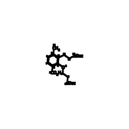 CCCCCCCCCCCCOc1c(C(=O)O)ccc(C)c1CCCCCCCCCCCC